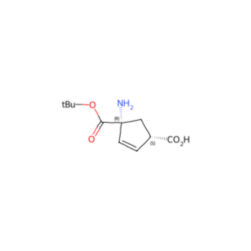 CC(C)(C)OC(=O)[C@]1(N)C=C[C@@H](C(=O)O)C1